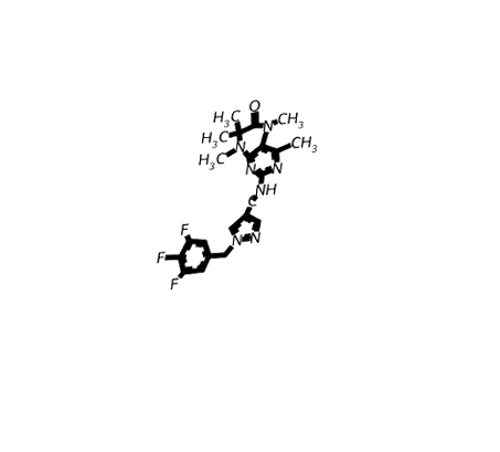 Cc1nc(NCc2cnn(Cc3cc(F)c(F)c(F)c3)c2)nc2c1N(C)C(=O)C(C)(C)N2C